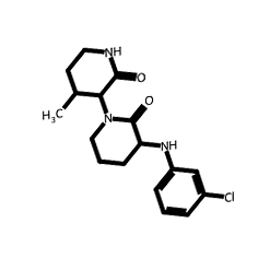 CC1CCNC(=O)C1N1CCCC(Nc2cccc(Cl)c2)C1=O